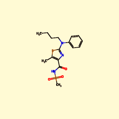 CCCCN(c1ccccc1)c1nc(C(=O)NS(C)(=O)=O)c(C)s1